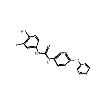 O=C(Nc1ccc(Oc2ccccc2)cc1)Nc1ccc(O)c(F)c1